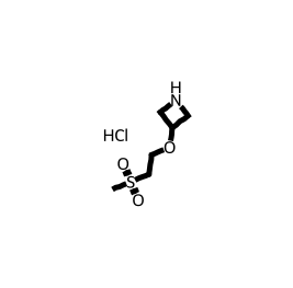 CS(=O)(=O)CCOC1CNC1.Cl